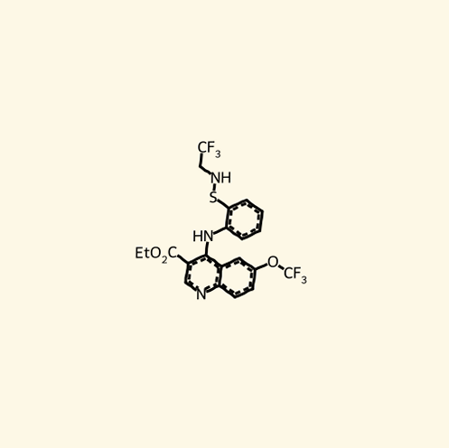 CCOC(=O)c1cnc2ccc(OC(F)(F)F)cc2c1Nc1ccccc1SNCC(F)(F)F